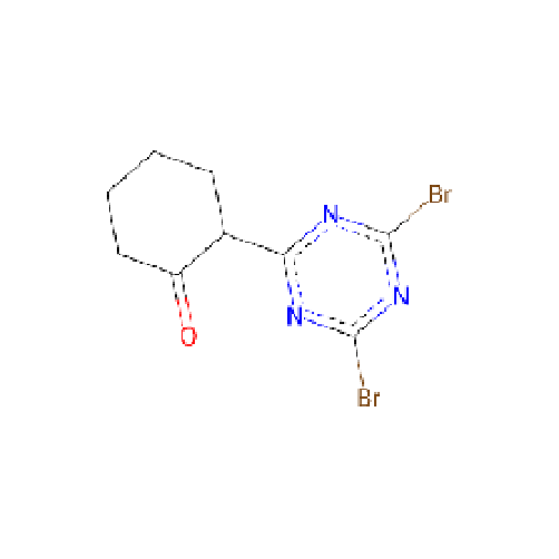 O=C1CCCCC1c1nc(Br)nc(Br)n1